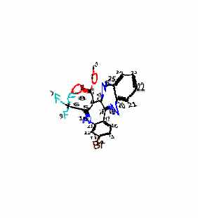 COC(=O)C1C(C(F)(F)F)=Nc2cc(Br)ccc2-c2nc3ccccc3nc21